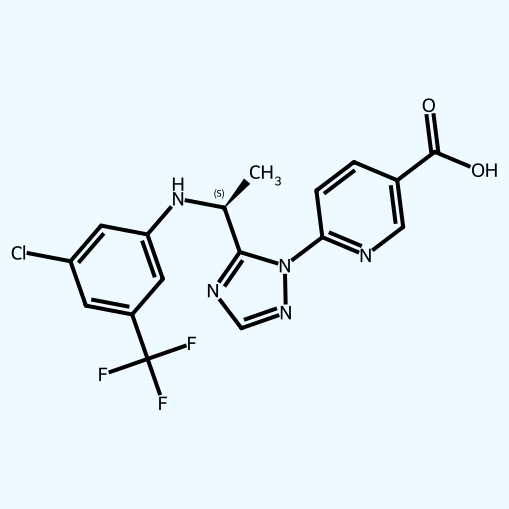 C[C@H](Nc1cc(Cl)cc(C(F)(F)F)c1)c1ncnn1-c1ccc(C(=O)O)cn1